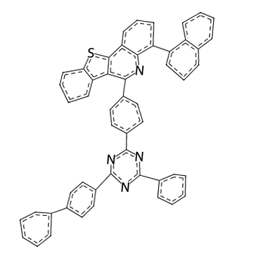 c1ccc(-c2ccc(-c3nc(-c4ccccc4)nc(-c4ccc(-c5nc6c(-c7cccc8ccccc78)cccc6c6sc7ccccc7c56)cc4)n3)cc2)cc1